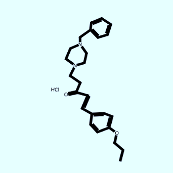 CCCOc1ccc(C=CC(=O)CCN2CCN(Cc3ccccc3)CC2)cc1.Cl